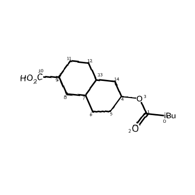 CCC(C)C(=O)OC1CCC2CC(C(=O)O)CCC2C1